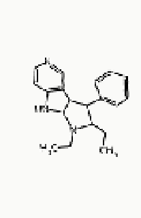 CCC1C(c2ccccc2)C2c3cnccc3NC2N1CC